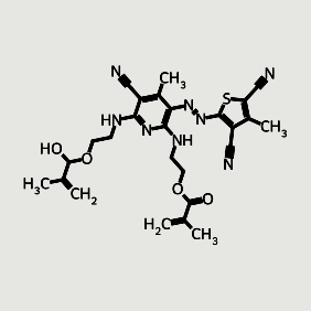 C=C(C)C(=O)OCCNc1nc(NCCOC(O)C(=C)C)c(C#N)c(C)c1/N=N/c1sc(C#N)c(C)c1C#N